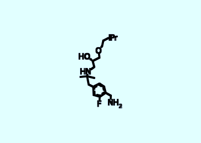 [CH2]C(C)CCOC[C@H](O)CNC(C)(C)Cc1ccc(CN)c(F)c1